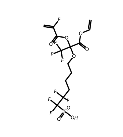 C=COC(=O)C(OCCCCC(F)(F)C(F)(F)S(=O)(=O)O)(OC(=O)C(=C)F)C(F)(F)F